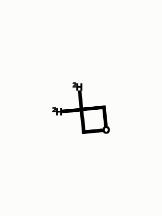 [2H]C1([2H])COC1